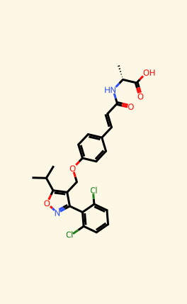 CC(C)c1onc(-c2c(Cl)cccc2Cl)c1COc1ccc(/C=C/C(=O)N[C@H](C)C(=O)O)cc1